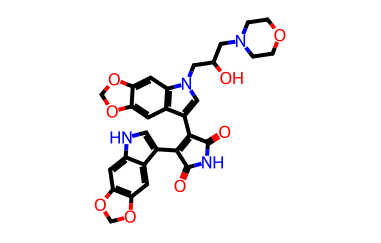 O=C1NC(=O)C(c2cn(CC(O)CN3CCOCC3)c3cc4c(cc23)OCO4)=C1c1c[nH]c2cc3c(cc12)OCO3